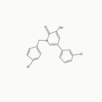 O=c1c(O)cc(-c2cccc(Cl)c2)cn1Cc1ccc(Cl)cc1